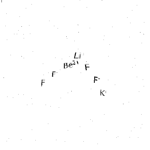 [Be+2].[F-].[F-].[F-].[F-].[K+].[Li+]